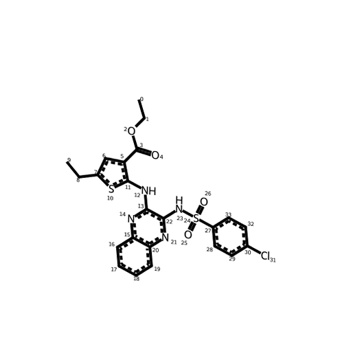 CCOC(=O)c1cc(CC)sc1Nc1nc2ccccc2nc1NS(=O)(=O)c1ccc(Cl)cc1